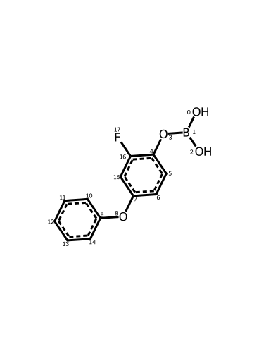 OB(O)Oc1ccc(Oc2ccccc2)cc1F